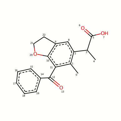 Cc1c(C(C)C(=O)O)cc2c(c1C(=O)c1ccccc1)OCC2